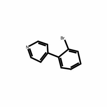 Brc1cc[c]cc1-c1ccncc1